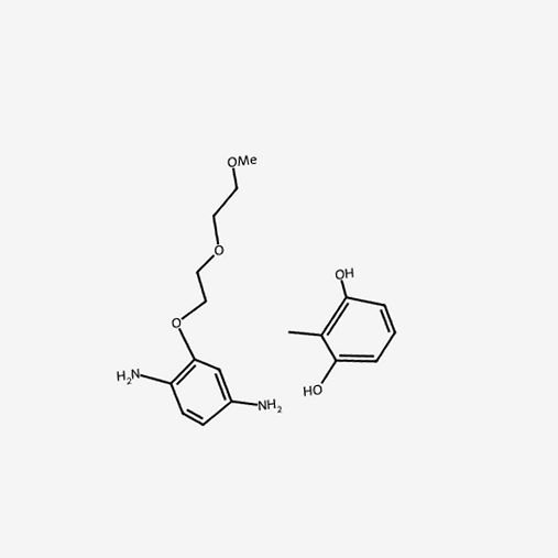 COCCOCCOc1cc(N)ccc1N.Cc1c(O)cccc1O